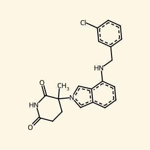 CC1(n2cc3cccc(NCc4cccc(Cl)c4)c3c2)CCC(=O)NC1=O